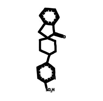 O=C1c2ccccc2CC12CCC(c1ccc(S(=O)(=O)O)nc1)CC2